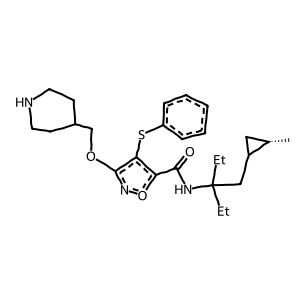 CCC(CC)(CC1C[C@@H]1C)NC(=O)c1onc(OCC2CCNCC2)c1Sc1ccccc1